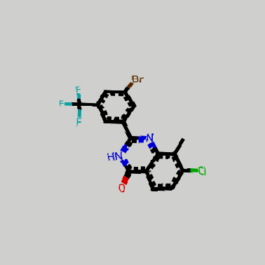 Cc1c(Cl)ccc2c(=O)[nH]c(-c3cc(Br)cc(C(F)(F)F)c3)nc12